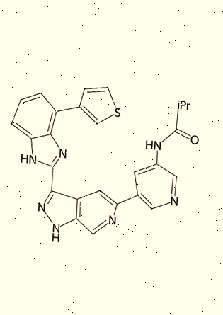 CC(C)C(=O)Nc1cncc(-c2cc3c(-c4nc5c(-c6ccsc6)cccc5[nH]4)n[nH]c3cn2)c1